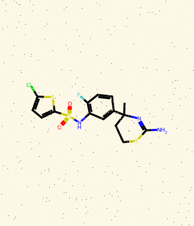 CC1(c2ccc(F)c(NS(=O)(=O)c3ccc(Cl)s3)c2)CCSC(N)=N1